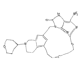 Nc1nc2nc3c1[nH]c(=O)n3Cc1cc(c3c(c1)CN(C1CCOCC1)CC3)CCCCCO2